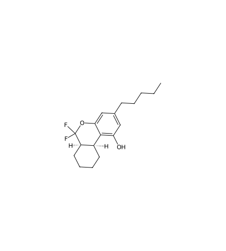 CCCCCc1cc(O)c2c(c1)OC(F)(F)[C@@H]1CCCC[C@H]21